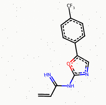 C=CC(=N)Nc1ncc(-c2ccc(C(F)(F)F)cc2)o1